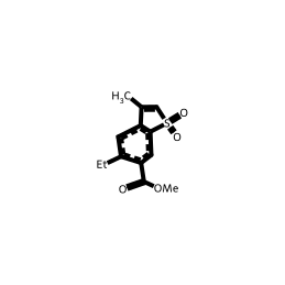 CCc1cc2c(cc1C(=O)OC)S(=O)(=O)C=C2C